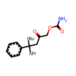 CCCC(CC(=O)COC(N)=O)(c1ccccc1)C(C)(C)C